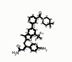 Cc1c(C/C(=C\C(N)=O)c2ccc(N)nc2)oc2c(C(F)(F)F)cc(-c3cc(C(=O)N4CCC(F)(F)CC4)ccn3)cc12